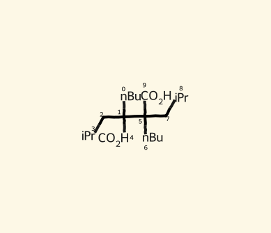 CCCCC(CC(C)C)(C(=O)O)C(CCCC)(CC(C)C)C(=O)O